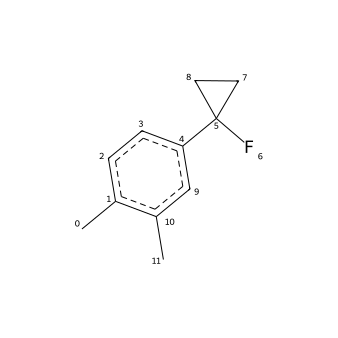 Cc1ccc(C2(F)CC2)cc1C